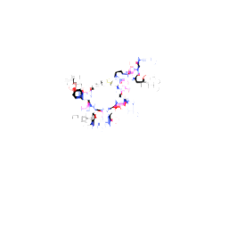 [2H]C([2H])([2H])CC(C)[C@@H]1NC(=O)[C@H](Cc2ccc(OC([2H])([2H])[2H])cc2)NC(=O)CCCSC[C@@H](C(=O)N2CCC[C@H]2C(=O)NC(CC(C)C)C(=O)NCC(N)=O)NC(=O)[C@H](CC(N)=O)NC(=O)[C@H](CCC(N)=O)NC1=O